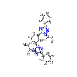 CCC(C)n1nc(-c2ccccc2)nc1-c1cccc(-c2nc(-c3ccccc3)nn2C(C)CC)c1